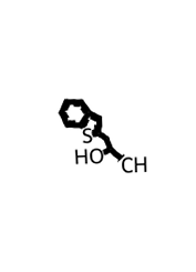 C#CC(O)Cc1cc2ccccc2s1